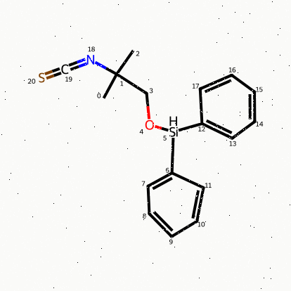 CC(C)(CO[SiH](c1ccccc1)c1ccccc1)N=C=S